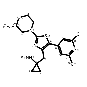 CC(=O)NC1(Cc2nc(N3CCO[C@@H](C(F)(F)F)C3)sc2-c2cc(C)nc(C)c2)CC1